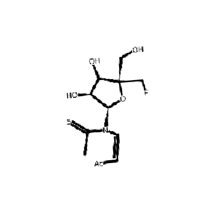 CC(=O)/C=C\N(C(C)=S)[C@@H]1O[C@@](CO)(CF)C(O)[C@@H]1O